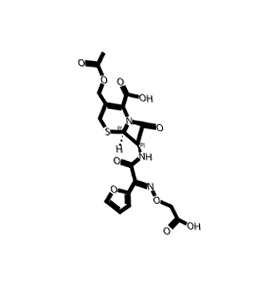 CC(=O)OCC1=C(C(=O)O)N2C(=O)[C@@H](NC(=O)C(=NOCC(=O)O)c3ccco3)[C@H]2SC1